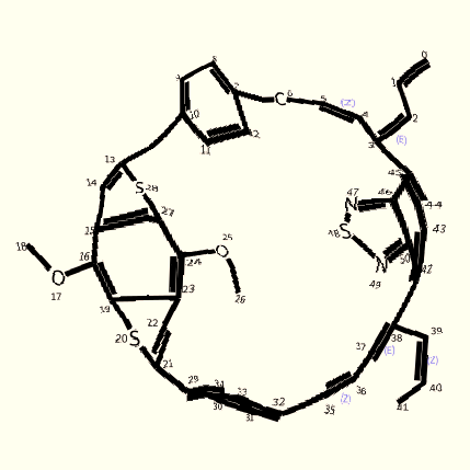 C=C/C=C1\C=C/Cc2ccc(cc2)-c2cc3c(OC)c4sc(cc4c(OC)c3s2)-c2ccc(cc2)\C=C/C=C(\C=C/C)c2ccc1c1nsnc21